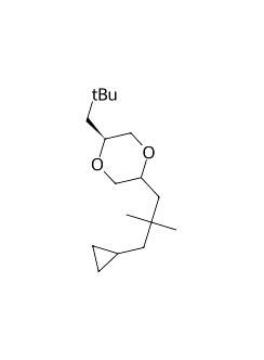 CC(C)(C)C[C@H]1COC(CC(C)(C)CC2CC2)CO1